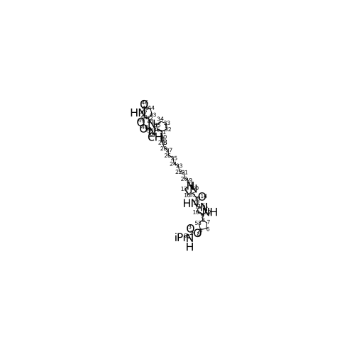 CC(C)NC(=O)O[C@@H]1CC[C@H](c2cc(NC(=O)c3ccn(CCCCCCCCCCC#Cc4cccc5c4n(C)c(=O)n5C4CCC(=O)NC4=O)n3)n[nH]2)C1